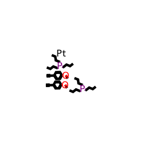 C#Cc1ccc(OC)cc1.C#Cc1ccc(OC)cc1.CCCCP(CCCC)CCCC.CCCCP(CCCC)CCCC.[Pt]